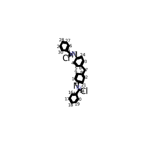 Cl/C(=N\c1ccc(Cc2ccc(/N=C(\Cl)c3ccccc3)cc2)cc1)c1ccccc1